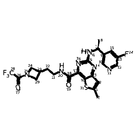 Cc1cc2nc(N[C@@H](C)c3cncc(F)c3)nc(C(=O)NCCC3CN(C(=O)C(F)(F)F)C3)c2s1